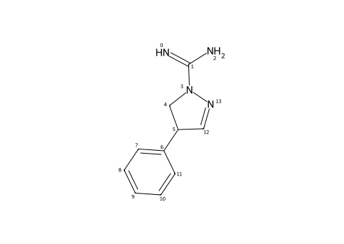 N=C(N)N1CC(c2ccccc2)C=N1